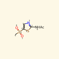 CC(=O)Nc1ncc(S(C)(=O)=O)s1